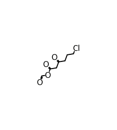 O=COC(=O)CC(=O)CCCCl